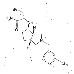 CC(C)C[C@H](N[C@@H]1CC[C@H]2CN(Cc3cccc(C(F)(F)F)c3)C[C@H]21)C(N)=O